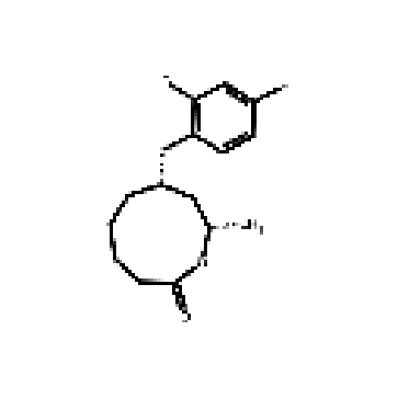 C[C@H]1C[C@@H](Cc2ccc(F)cc2F)CCCCC(=O)O1